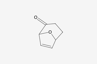 O=C1CCC2C=CC1O2